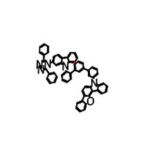 c1ccc(-c2nnc(-c3ccccc3)n2-c2ccc3c4ccccc4n(-c4ccccc4-c4cccc(-c5cccc(-n6c7ccccc7c7c8oc9ccccc9c8ccc76)c5)c4)c3c2)cc1